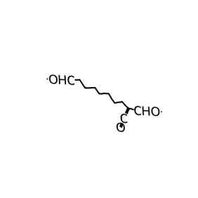 O=[C]CCCCCCCC([C]=O)=C=O